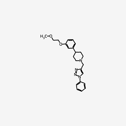 COCCOc1cccc(C2CCN(Cc3cn(-c4ccccc4)nn3)CC2)c1